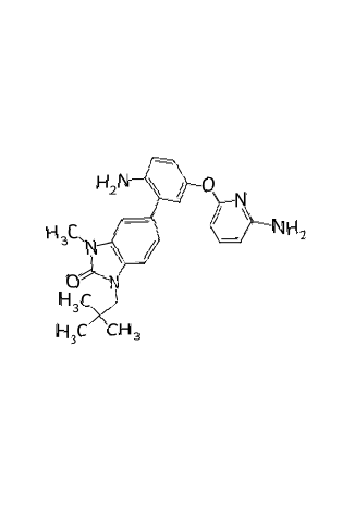 Cn1c(=O)n(CC(C)(C)C)c2ccc(-c3cc(Oc4cccc(N)n4)ccc3N)cc21